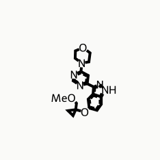 COCC1(Oc2ccc3[nH]nc(-c4cc(N5CCOCC5)ncn4)c3c2)CC1